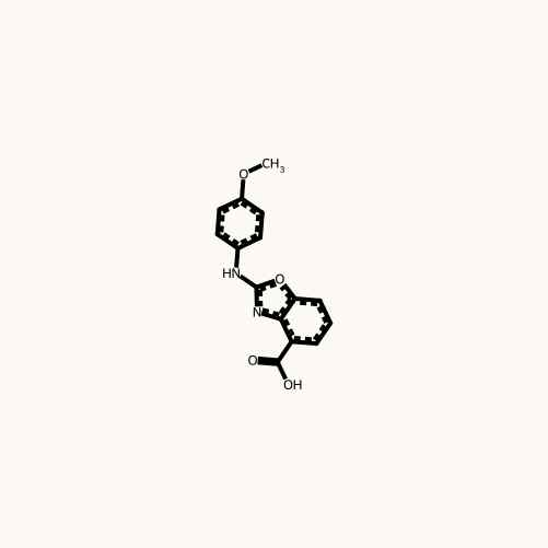 COc1ccc(Nc2nc3c(C(=O)O)cccc3o2)cc1